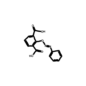 O=C(O)c1cccc(C(=O)O)c1ON=Nc1ccccc1